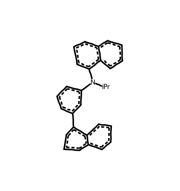 CC(C)N(c1cccc(-c2cccc3ccccc23)c1)c1cccc2ccccc12